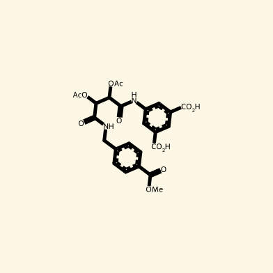 COC(=O)c1ccc(CNC(=O)C(OC(C)=O)C(OC(C)=O)C(=O)Nc2cc(C(=O)O)cc(C(=O)O)c2)cc1